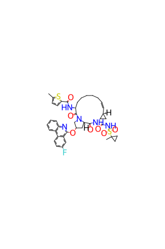 Cc1ccc(C(=O)N[C@H]2CCCCC/C=C\[C@@H]3C[C@@]3(C(=O)NS(=O)(=O)C3(C)CC3)NC(=O)[C@@H]3C[C@@H](Oc4nc5ccccc5c5ccc(F)cc45)CN3C2=O)s1